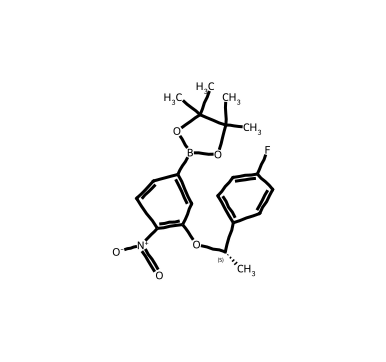 C[C@H](Oc1cc(B2OC(C)(C)C(C)(C)O2)ccc1[N+](=O)[O-])c1ccc(F)cc1